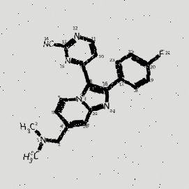 CN(C)Cc1ccn2c(-c3ccnc(C#N)n3)c(-c3ccc(F)cc3)nc2c1